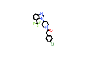 O=C(Cc1ccc(Cl)cc1)N1CCC(n2cnc3cccc(C(F)(F)F)c32)CC1